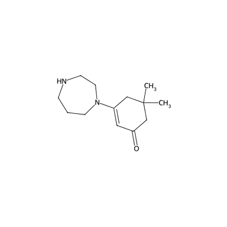 CC1(C)CC(=O)C=C(N2CCCNCC2)C1